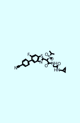 CC(C)S(=O)(=O)C(C(=O)NCC(=O)NC1CC1)c1nc2cc(-c3ccc(C#N)cc3)c(F)cc2s1